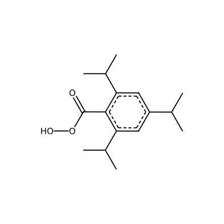 CC(C)c1cc(C(C)C)c(C(=O)OO)c(C(C)C)c1